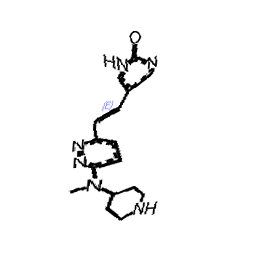 CN(c1ccc(/C=C/c2cnc(=O)[nH]c2)nn1)C1CCNCC1